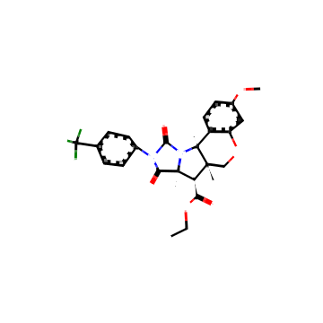 CCOC(=O)[C@@H]1[C@H]2COc3cc(OC)ccc3[C@@H]2N2C(=O)N(c3ccc(C(F)(F)F)cc3)C(=O)[C@]12C